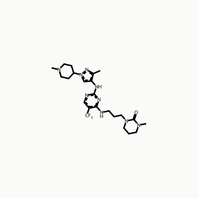 Cc1nn(C2CCN(C)CC2)cc1Nc1ncc(C(F)(F)F)c(NCCCN2CCCN(C)C2=O)n1